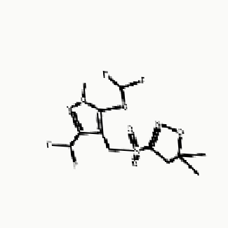 Cn1nc(C(F)F)c(CS(=O)(=O)C2=NOC(C)(C)C2)c1OC(F)F